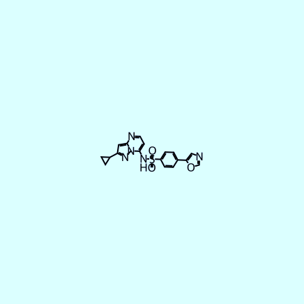 O=S(=O)(Nc1ccnc2cc(C3CC3)nn12)c1ccc(-c2cnco2)cc1